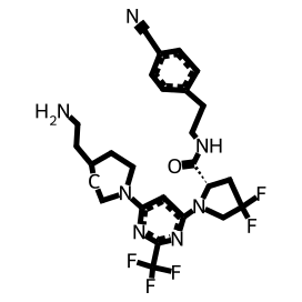 N#Cc1ccc(CCNC(=O)[C@@H]2CC(F)(F)CN2c2cc(N3CCC(CCN)CC3)nc(C(F)(F)F)n2)cc1